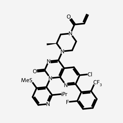 C=CC(=O)N1CCN(c2nc(=O)n(-c3c(SC)ccnc3C(C)C)c3nc(-c4c(F)cccc4C(F)(F)F)c(Cl)cc23)[C@@H](C)C1